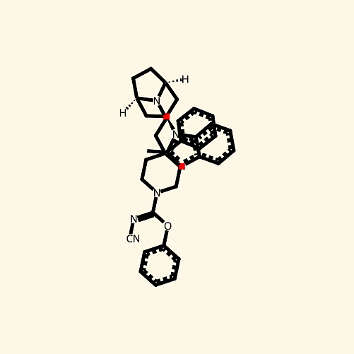 Cc1nc2ccccc2n1[C@H]1C[C@H]2CC[C@@H](C1)N2CCC1(c2ccccc2)CCN(/C(=N/C#N)Oc2ccccc2)CC1